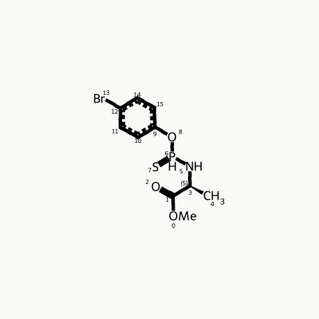 COC(=O)[C@H](C)N[PH](=S)Oc1ccc(Br)cc1